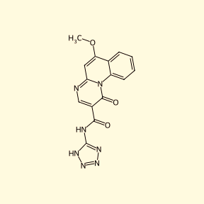 COc1cc2ncc(C(=O)Nc3nnn[nH]3)c(=O)n2c2ccccc12